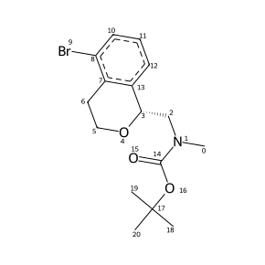 CN(C[C@@H]1OCCc2c(Br)cccc21)C(=O)OC(C)(C)C